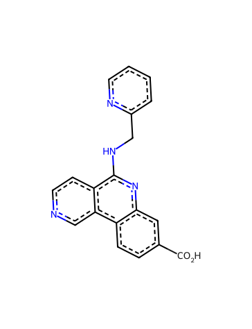 O=C(O)c1ccc2c(c1)nc(NCc1ccccn1)c1ccncc12